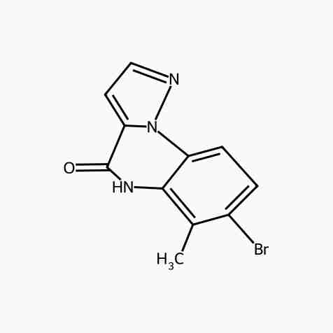 Cc1c(Br)ccc2c1[nH]c(=O)c1ccnn12